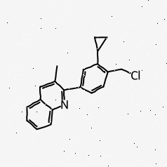 Cc1cc2ccccc2nc1-c1ccc(CCl)c(C2CC2)c1